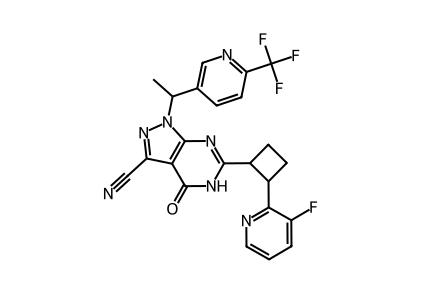 CC(c1ccc(C(F)(F)F)nc1)n1nc(C#N)c2c(=O)[nH]c(C3CCC3c3ncccc3F)nc21